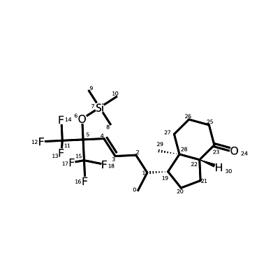 CC(CC=CC(O[Si](C)(C)C)(C(F)(F)F)C(F)(F)F)[C@H]1CC[C@H]2C(=O)CCC[C@]12C